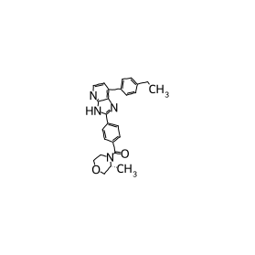 CCc1ccc(-c2ccnc3[nH]c(-c4ccc(C(=O)N5CCOC[C@H]5C)cc4)nc23)cc1